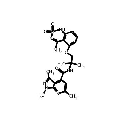 Cc1cc(C(=O)NC(C)(C)COc2cccc3c2C(N)=NS(=O)(=O)N3)c2c(C)nn(C)c2n1